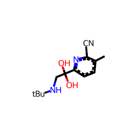 Cc1ccc(C(O)(O)CNC(C)(C)C)nc1C#N